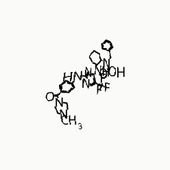 CN1CCN(C(=O)c2ccc(Nc3ncc(C(F)(F)F)c(N[C@@H]4CCCC[C@@H]4N(Cc4ccccc4)C(=O)O)n3)cc2)CC1